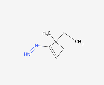 CCC1(C)CC=C1N=N